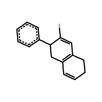 IC1=CC2=C(C=CCC2)CC1c1ccccc1